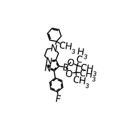 CC1(N2CCn3nc(-c4ccc(F)cc4)c(B4OC(C)(C)C(C)(C)O4)c3C2)C=CC=CC1